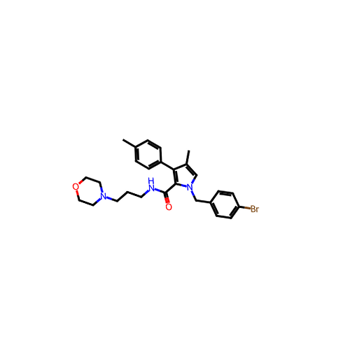 Cc1ccc(-c2c(C)cn(Cc3ccc(Br)cc3)c2C(=O)NCCCN2CCOCC2)cc1